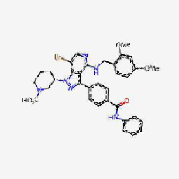 COc1ccc(CNc2ncc(Br)c3c2c(-c2ccc(C(=O)Nc4ccccc4)cc2)nn3[C@@H]2CCCN(C(=O)O)C2)c(OC)c1